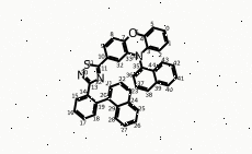 c1ccc2c(c1)Oc1ccc(-c3nc(-c4ccccc4-c4cccc5ccccc45)ns3)cc1N2c1cccc2ccccc12